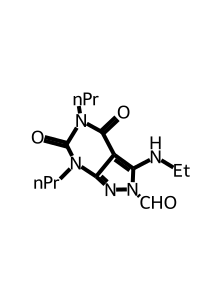 CCCn1c(=O)c2c(NCC)n(C=O)nc2n(CCC)c1=O